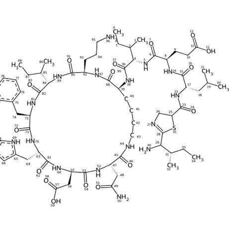 CCC(C)[C@H](NC(=O)[C@@H](CCC(=O)O)NC(=O)[C@H](CC(C)C)NC(=O)C1CN=C(C(N)[C@@H](C)CC)S1)C(=O)N[C@H]1CCCCNC(=O)[C@H](CC(N)=O)NC(=O)[C@@H](CC(=O)O)NC(=O)[C@H](Cc2cnc[nH]2)NC(=O)[C@@H](Cc2ccccc2)NC(=O)[C@H](C(C)CC)NC(=O)[C@@H](CCCN)NC1=O